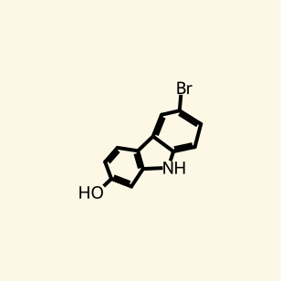 Oc1ccc2c(c1)[nH]c1ccc(Br)cc12